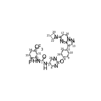 O=C(Nc1cnc(Oc2ccc(-c3cnn4ccc(N5CCC5)nc34)cc2)nc1)Nc1cc(C(F)(F)F)ccc1F